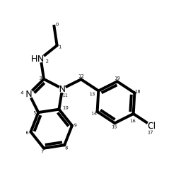 CCNc1nc2ccccc2n1Cc1ccc(Cl)cc1